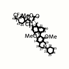 COC(=O)[C@H](Cc1cccc2c(-c3c(OC)cc4c(c3OC)CN(C3CCCCC3)CC4)cccc12)NC(=O)C1(C(F)(F)F)CCN(CC(F)(F)F)CC1